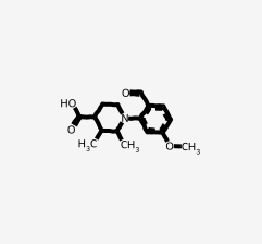 COc1ccc(C=O)c(N2CCC(C(=O)O)C(C)C2C)c1